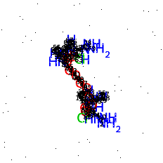 N=C(N)NCCCC(NC(=O)C(Cc1ccccc1)NC(=O)C(Cc1ccccc1)NC(=O)CCOCCOCCOCCOCCC(=O)NC(Cc1ccccc1)C(=O)NC(Cc1ccccc1)C(=O)NC(CCCNC(=N)N)C(=O)CCl)C(=O)CCl